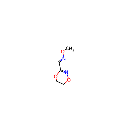 CON=CC1=NOCCO1